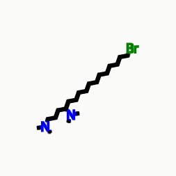 CN(C)CCCC(CCCCCCCCCCCCBr)N(C)C